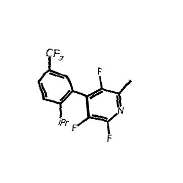 Cc1nc(F)c(F)c(-c2cc(C(F)(F)F)ccc2C(C)C)c1F